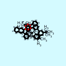 CC(C)(C)c1cc(-c2cccc(-c3cc(C(C)(C)C)cc(C(C)(C)C)c3)c2-[n+]2c3n(c4ccccc42)-c2cccc4c2[N+]32c3c(ccc5c6ccccc6n(c35)-c3cccc[n+]32)-c2cc3ccccc3cc2-4)cc(C(C)(C)C)c1